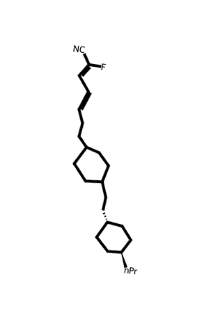 CCC[C@H]1CC[C@H](CCC2CCC(CCC=CC=C(F)C#N)CC2)CC1